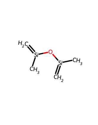 C=[Si](C)O[Si](=C)C